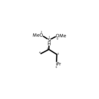 CO[SiH](OC)C(C)CC(C)C